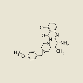 CCC(N)c1nc2cccc(Cl)c2c(=O)n1N1CCN(Cc2ccc(OC)cc2)CC1